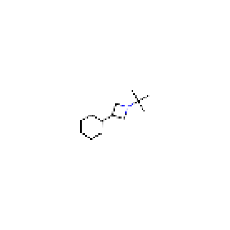 CC(C)(C)N1CC(C2CCCCC2)C1